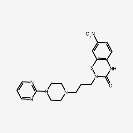 O=C1Nc2ccc([N+](=O)[O-])cc2SN1CCCN1CCN(c2ncccn2)CC1